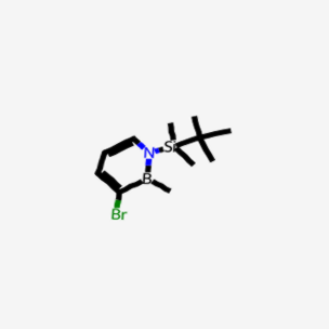 CB1C(Br)=CC=CN1[Si](C)(C)C(C)(C)C